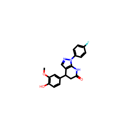 COc1cc(C2CC(=O)Nc3c2cnn3-c2ccc(F)cc2)ccc1O